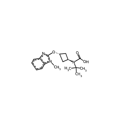 Cn1c(O[C@H]2C[C@H](N(C(=O)O)C(C)(C)C)C2)nc2ccccc21